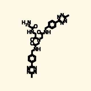 Cc1nnc(-c2ccc(CNC(=O)CN(CC(=O)NCc3ccc(-c4nnc(C)nn4)cc3)C(=O)CNC(=O)CN)cc2)nn1